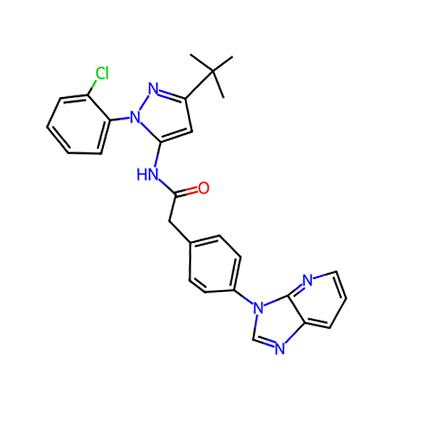 CC(C)(C)c1cc(NC(=O)Cc2ccc(-n3cnc4cccnc43)cc2)n(-c2ccccc2Cl)n1